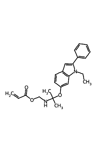 C=CC(=O)OCNC(C)(C)Oc1ccc2cc(-c3ccccc3)n(CC)c2c1